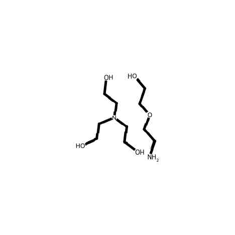 NCCOCCO.OCCN(CCO)CCO